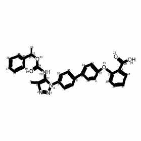 Cc1nnn(-c2ccc(-c3ccc(Oc4ccccc4C(=O)O)cc3)cc2)c1NC(=O)O[C@H](C)c1ccccc1